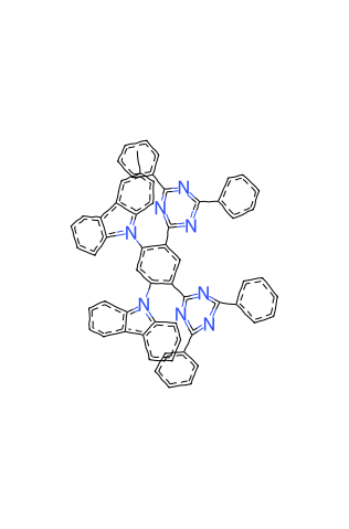 Cc1ccc2c(c1)c1ccccc1n2-c1cc(-n2c3ccccc3c3ccccc32)c(-c2nc(-c3ccccc3)nc(-c3ccccc3)n2)cc1-c1nc(-c2ccccc2)nc(-c2ccccc2)n1